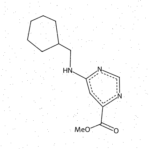 COC(=O)c1cc(NCC2CCCCC2)ncn1